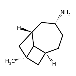 C[C@]12C[C@@H]3CC[C@@H](N)C[C@@H](C1)C32